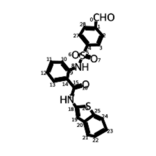 O=Cc1ccc(S(=O)(=O)Nc2ccccc2C(=O)Nc2cc3ccccc3s2)cc1